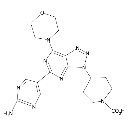 Nc1ncc(-c2nc(N3CCOCC3)c3nnn(C4CCN(C(=O)O)CC4)c3n2)cn1